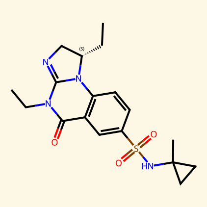 CC[C@H]1CN=C2N(CC)C(=O)c3cc(S(=O)(=O)NC4(C)CC4)ccc3N21